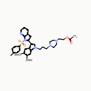 COc1cc2c(-c3cc4cccnc4n3S(=O)(=O)c3ccc(C)cc3)cn(CCCN3CCN(CCOC(=O)C(F)(F)F)CC3)c2cc1OC